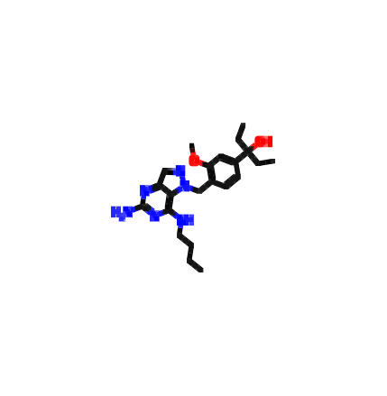 CCCCNc1nc(N)nc2cnn(Cc3ccc(C(O)(CC)CC)cc3OC)c12